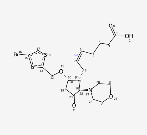 O=C(O)CCC/C=C\C[C@H]1[C@@H](OCc2cc(Br)cs2)CC(=O)[C@@H]1N1CCOCC1